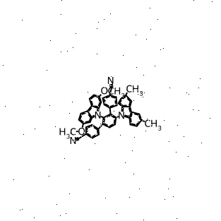 COc1ccc2c3ccc(OC)cc3n(-c3c(-c4ccc(C#N)cc4)ccc(-n4c5ccc(C)cc5c5cc(C)ccc54)c3-c3ccc(C#N)cc3)c2c1